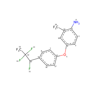 Nc1ccc(Oc2ccc(C(F)C(F)(F)C(F)(F)F)cc2)cc1C(F)(F)F